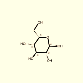 OC[C@@H]1O[C@@H](O)[C@H](O)[C@@H](O)[C@@H]1O